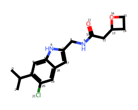 CC(C)c1cc2[nH]c(CNC(=O)CC3CCO3)cc2cc1Cl